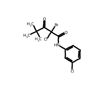 CC(C)(C)C(=O)C(Cl)(Br)C(=O)Nc1cccc(Cl)c1